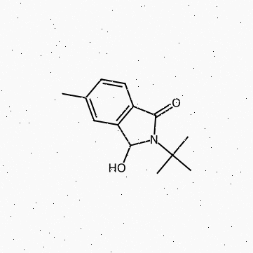 Cc1ccc2c(c1)C(O)N(C(C)(C)C)C2=O